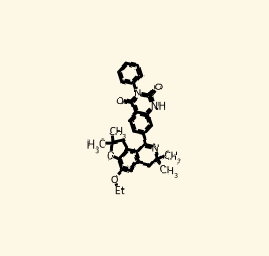 CCOc1cc2c(c3c1OC(C)(C)C3)C(c1ccc3c(=O)n(-c4ccccc4)c(=O)[nH]c3c1)=NC(C)(C)C2